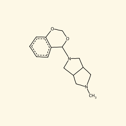 CN1CC2CN(C3OCOc4ccccc43)CC2C1